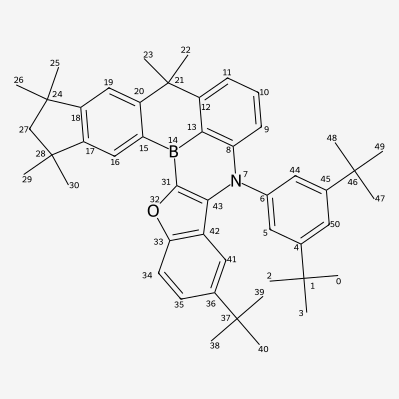 CC(C)(C)c1cc(N2c3cccc4c3B(c3cc5c(cc3C4(C)C)C(C)(C)CC5(C)C)c3oc4ccc(C(C)(C)C)cc4c32)cc(C(C)(C)C)c1